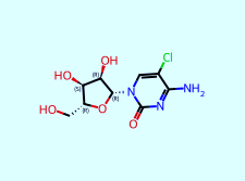 Nc1nc(=O)n([C@@H]2O[C@H](CO)[C@@H](O)[C@H]2O)cc1Cl